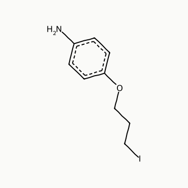 Nc1ccc(OCCCI)cc1